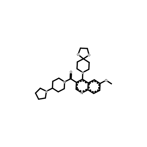 COc1ccc2ncc(C(=O)N3CCC(N4CCCC4)CC3)c(N3CCC4(CC3)OCCO4)c2c1